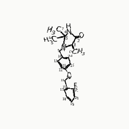 CC1C(=O)NC(C)(C)N1Cc1ccc(OCc2ccccc2F)cc1